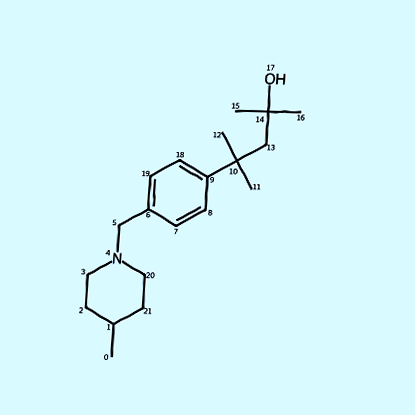 CC1CCN(Cc2ccc(C(C)(C)CC(C)(C)O)cc2)CC1